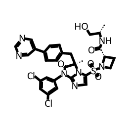 C[C@@H](CO)NC(=O)[C@@H]1CCN1S(=O)(=O)c1cnc2n1[C@](C)(Cc1ccc(-c3cncnc3)cc1)C(=O)N2c1cc(Cl)cc(Cl)c1